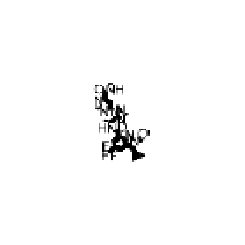 CNC(=O)c1cc(-n2ncnc2[C@H](C)NC(=O)c2cc(C(F)(F)F)cc3c(C4CC4)n(COC)nc23)ncn1